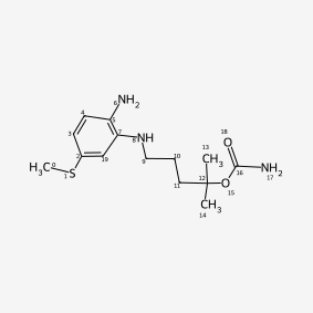 CSc1ccc(N)c(NCCCC(C)(C)OC(N)=O)c1